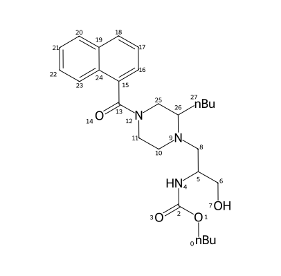 CCCCOC(=O)NC(CO)CN1CCN(C(=O)c2cccc3ccccc23)CC1CCCC